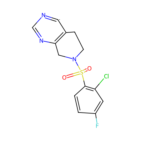 O=S(=O)(c1ccc(F)cc1Cl)N1CCc2[c]ncnc2C1